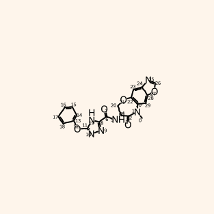 CN1C(=O)[C@@H](NC(=O)c2nnc(Oc3ccccc3)[nH]2)COc2cc3ncoc3cc21